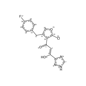 O=C(C=C(O)c1nc[nH]n1)c1c(Cc2ccc(F)cc2)coc1Cl